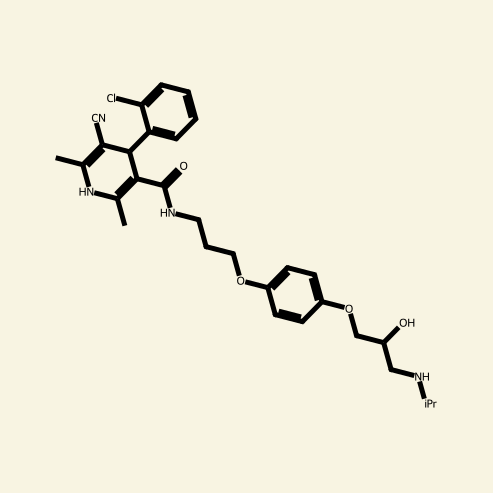 CC1=C(C#N)C(c2ccccc2Cl)C(C(=O)NCCCOc2ccc(OCC(O)CNC(C)C)cc2)=C(C)N1